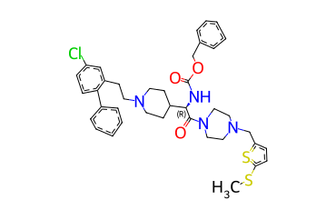 CSc1ccc(CN2CCN(C(=O)[C@H](NC(=O)OCc3ccccc3)C3CCN(CCc4cc(Cl)ccc4-c4ccccc4)CC3)CC2)s1